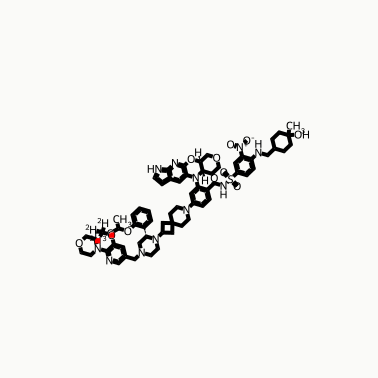 [2H]C([2H])([2H])Oc1cc(CN2CCN(C3CC4(CCN(c5ccc(C(=O)NS(=O)(=O)c6ccc(NCC7CCC(C)(O)CC7)c([N+](=O)[O-])c6)c(N6c7cc8cc[nH]c8nc7O[C@H]7COCC[C@@H]76)c5)CC4)C3)[C@@H](c3ccccc3OC(C)C)C2)cnc1N1CCOCC1